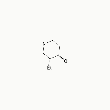 CC[C@@H]1CNCC[C@H]1O